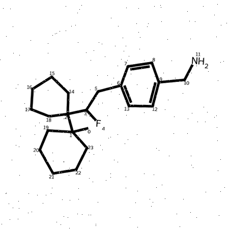 CC1(C2(C(F)Cc3ccc(CN)cc3)CCCCC2)CCCCC1